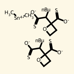 CCCCC(C([O-])=S)C1(C([O-])=S)CCO1.CCCCC(C([O-])=S)C1(C([O-])=S)CCO1.[CH3][Sn+4][CH3]